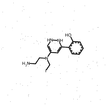 NCCN(CI)C1=CNNC(c2ccccc2O)=C1